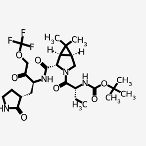 CC[C@@H](NC(=O)OC(C)(C)C)C(=O)N1C[C@H]2[C@@H]([C@H]1C(=O)N[C@@H](C[C@H]1CCNC1=O)C(=O)COC(F)(F)F)C2(C)C